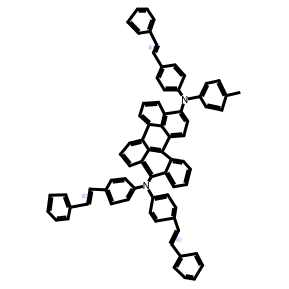 Cc1ccc(N(c2ccc(/C=C/c3ccccc3)cc2)c2ccc3c4c2cccc4c2cccc4c(N(c5ccc(/C=C/c6ccccc6)cc5)c5ccc(/C=C/c6ccccc6)cc5)c5ccccc5c3c42)cc1